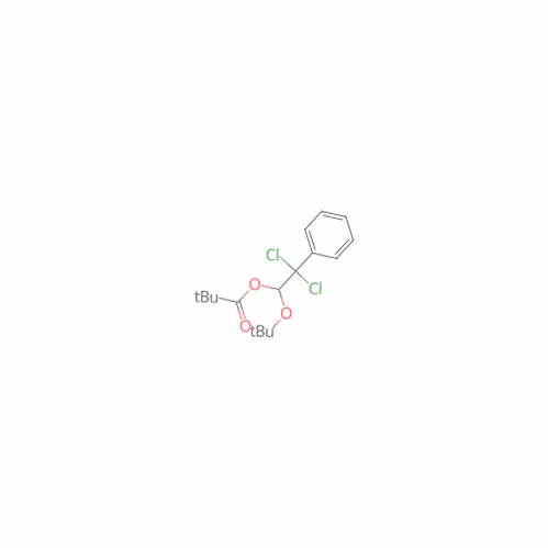 CC(C)(C)OC(OC(=O)C(C)(C)C)C(Cl)(Cl)c1ccccc1